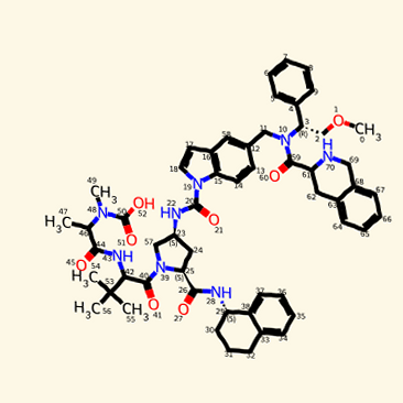 COC[C@@H](c1ccccc1)N(Cc1ccc2c(ccn2C(=O)N[C@H]2C[C@@H](C(=O)N[C@H]3CCCc4ccccc43)N(C(=O)C(NC(=O)C(C)N(C)C(=O)O)C(C)(C)C)C2)c1)C(=O)C1Cc2ccccc2CN1